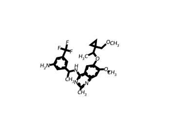 COCC1(C(C)Oc2cc3c(NC(C)c4cc(N)cc(C(F)(F)F)c4)nc(C)nc3cc2OC)CC1